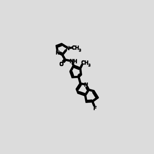 Cc1cc(-c2ccc3cc(F)ccc3n2)ccc1NC(=O)c1nccn1C